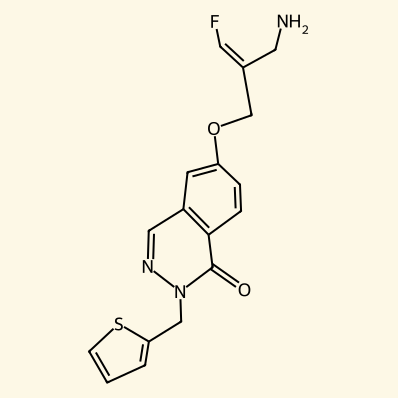 NCC(=CF)COc1ccc2c(=O)n(Cc3cccs3)ncc2c1